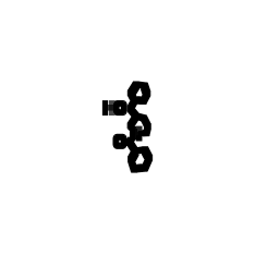 O=C(c1ccccc1)N1CCCC([C@H](O)c2ccccc2)C1